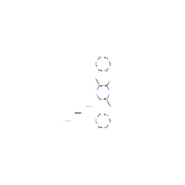 Cn1c(=Cc2ccccc2)c(OCC=CCBr)nc(=Cc2ccccc2)c1=O